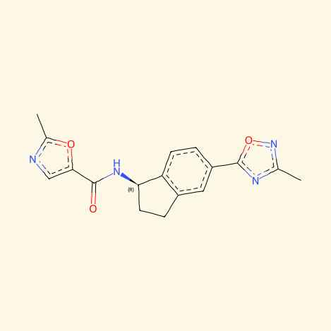 Cc1noc(-c2ccc3c(c2)CC[C@H]3NC(=O)c2cnc(C)o2)n1